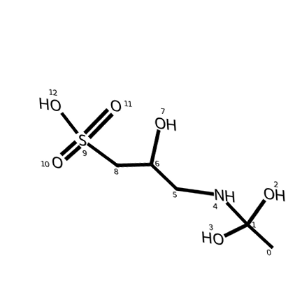 CC(O)(O)NCC(O)CS(=O)(=O)O